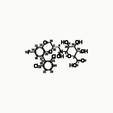 O=C(O)C1OC(N(O)C[C@H]2COc3cc(F)cc(-c4c(Cl)cccc4Cl)c3O2)C(O)C(O)C1O